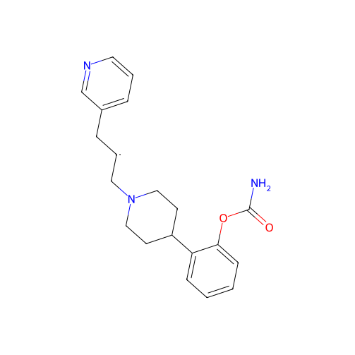 NC(=O)Oc1ccccc1C1CCN(C[CH]Cc2cccnc2)CC1